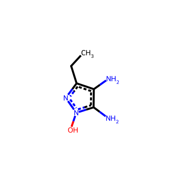 CCc1nn(O)c(N)c1N